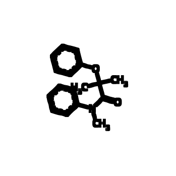 CN(C(=O)C(C)(C)Oc1ccccc1)c1ccccc1